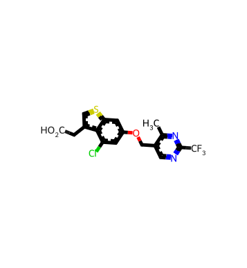 Cc1nc(C(F)(F)F)ncc1COc1cc(Cl)c2c(CC(=O)O)csc2c1